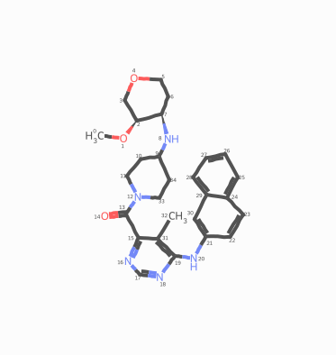 CO[C@H]1COCC[C@H]1NC1CCN(C(=O)c2ncnc(Nc3ccc4ccccc4c3)c2C)CC1